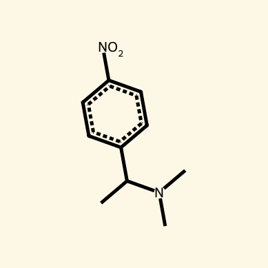 CC(c1ccc([N+](=O)[O-])cc1)N(C)C